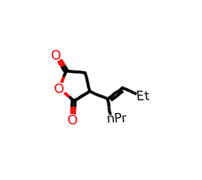 CCC=C(CCC)C1CC(=O)OC1=O